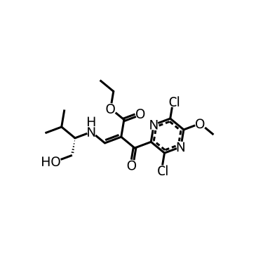 CCOC(=O)/C(=C\N[C@H](CO)C(C)C)C(=O)c1nc(Cl)c(OC)nc1Cl